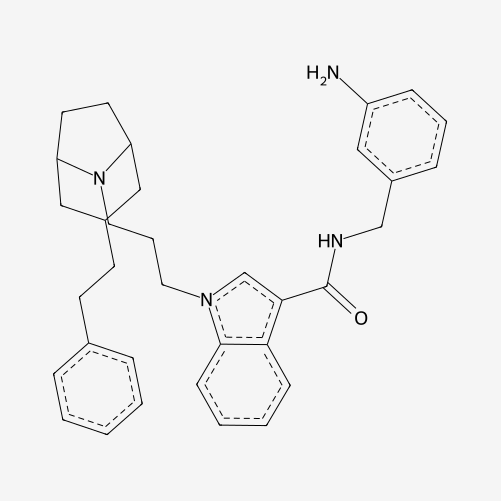 Nc1cccc(CNC(=O)c2cn(CCCN3C4CCC3CC(CCc3ccccc3)C4)c3ccccc23)c1